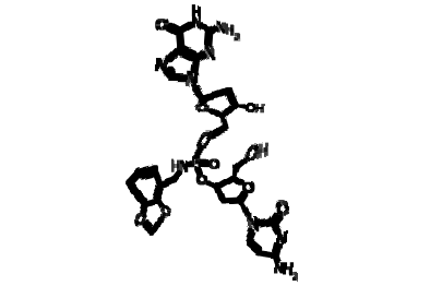 Nc1ccn([C@H]2C[C@@H](OP(=O)(NCc3cccc4c3OCO4)OC[C@H]3O[C@@H](n4cnc5c(=O)[nH]c(N)nc54)C[C@H]3O)[C@@H](CO)O2)c(=O)n1